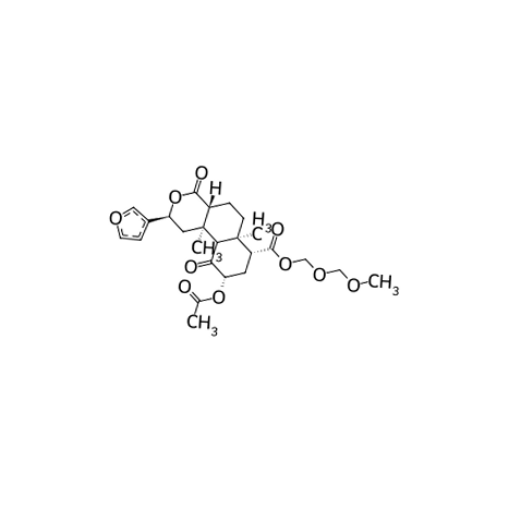 COCOCOC(=O)[C@@H]1C[C@H](OC(C)=O)C(=O)C2[C@@]1(C)CC[C@H]1C(=O)O[C@H](c3ccoc3)C[C@]21C